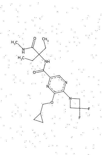 CCC(CC)(NC(=O)c1cnc(N2CC(F)(F)C2)c(OCC2CC2)n1)C(=O)NC